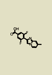 Cc1ccn2cc(-c3c(F)cc(C(=O)O)cc3F)nc2c1